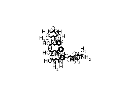 CC(C)C[C@H](N)C(=O)O.CSCC[C@H](N)C(=O)O.C[C@H](N)C(=O)O.NCC(=O)O.N[C@@H](Cc1c[nH]c2ccccc12)C(=O)O.N[C@@H](Cc1c[nH]c2ccccc12)C(=O)O.N[C@@H](Cc1ccccc1)C(=O)O